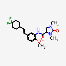 COc1ccc(/C=C/C2CCC(F)(F)CC2)cc1NC(=O)C1CN(C)C(=O)N1C